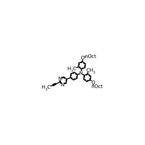 CC#Cc1ncc(-c2ccc(N(c3ccc(OCCCCCCCC)cc3C)c3ccc(OCCCCCCCC)cc3C)cc2)cn1